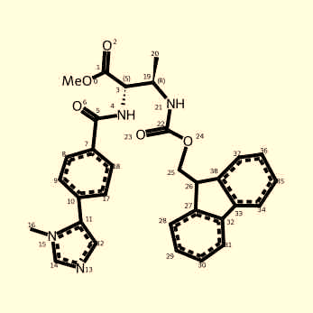 COC(=O)[C@@H](NC(=O)c1ccc(-c2cncn2C)cc1)[C@@H](C)NC(=O)OCC1c2ccccc2-c2ccccc21